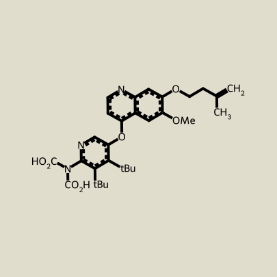 C=C(C)CCOc1cc2nccc(Oc3cnc(N(C(=O)O)C(=O)O)c(C(C)(C)C)c3C(C)(C)C)c2cc1OC